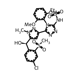 CCS(=O)(=O)Nc1nnc(-c2cc([C@H](O)c3ccc(Cl)cc3S(C)(=O)=O)n(C)n2)n1-c1c(OC)cccc1OC